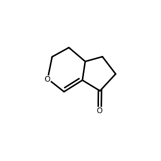 O=C1CCC2CCOC=C12